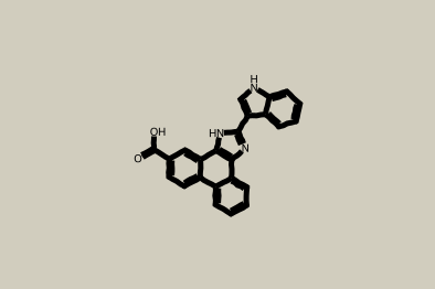 O=C(O)c1ccc2c3ccccc3c3nc(-c4c[nH]c5ccccc45)[nH]c3c2c1